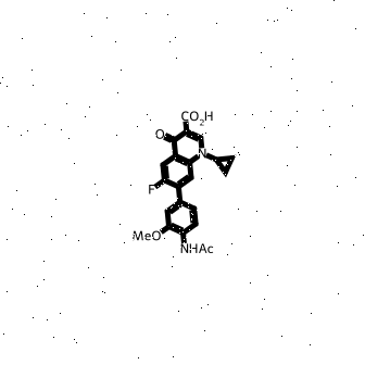 COc1cc(-c2cc3c(cc2F)c(=O)c(C(=O)O)cn3C2CC2)ccc1NC(C)=O